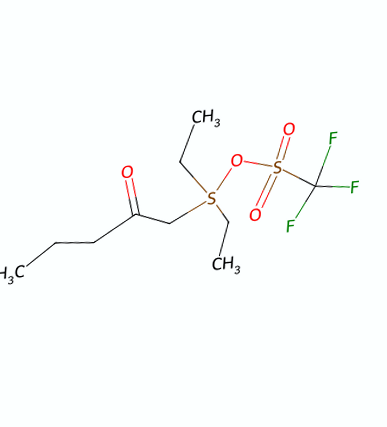 CCCC(=O)CS(CC)(CC)OS(=O)(=O)C(F)(F)F